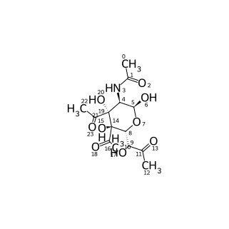 CC(=O)N[C@H]1[C@@H](O)O[C@H](C(O)C(C)=O)[C@](O)(C(C)=O)[C@@]1(O)C(C)=O